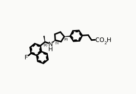 C[C@@H](N[C@H]1CC[C@@H](c2ccc(CCC(=O)O)cc2)C1)c1ccc(F)c2ccccc12